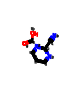 N#Cc1ncccn1.O=CO